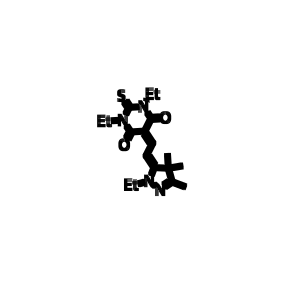 CCN1N=C(C)C(C)(C)C1=CC=C1C(=O)N(CC)C(=S)N(CC)C1=O